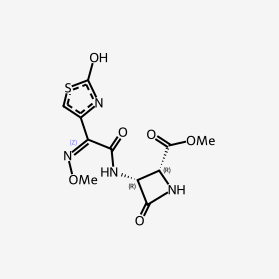 CO/N=C(\C(=O)N[C@H]1C(=O)N[C@H]1C(=O)OC)c1csc(O)n1